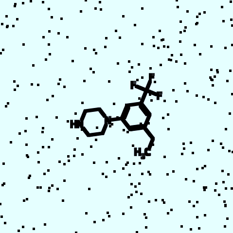 CCc1cc(N2CCNCC2)cc(C(F)(F)F)c1